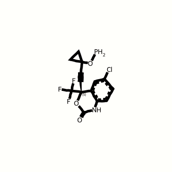 O=C1Nc2ccc(Cl)cc2[C@@](C#CC2(OP)CC2)(C(F)(F)F)O1